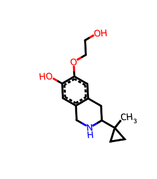 CC1(C2Cc3cc(OCCO)c(O)cc3CN2)CC1